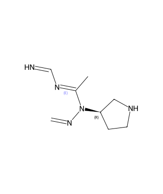 C=NN(/C(C)=N/C=N)[C@@H]1CCNC1